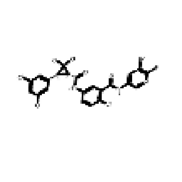 O=C(Nc1cnc(F)c(Br)c1)c1cc(NC(=O)[C@@H]2[C@@H](c3cc(Cl)cc(Cl)c3)C2(Cl)Cl)ccc1Cl